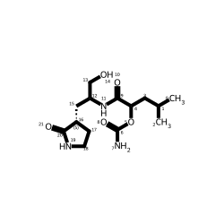 CC(C)CC(OC(N)=O)C(=O)NC(CO)C[C@@H]1CCNC1=O